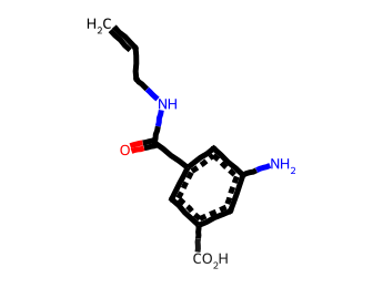 C=CCNC(=O)c1cc(N)cc(C(=O)O)c1